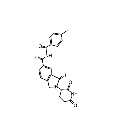 Cc1ccc(C(=O)NC(=O)c2ccc3c(c2)C(=O)N(C2CCC(=O)NC2=O)C3)cc1